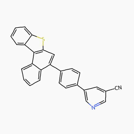 N#Cc1cncc(-c2ccc(-c3cc4sc5ccccc5c4c4ccccc34)cc2)c1